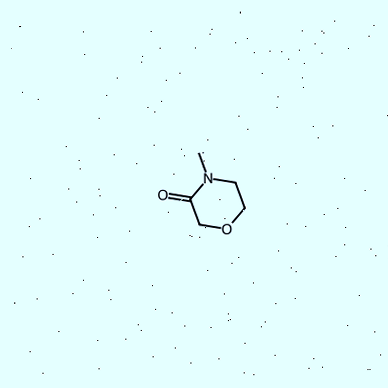 [CH2]N1CCOCC1=O